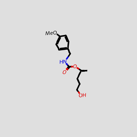 COc1ccc(CNC(=O)OC(C)CCCO)cc1